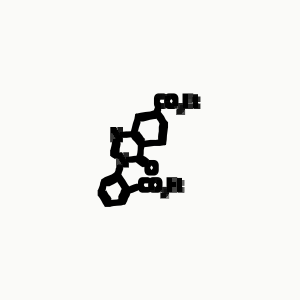 CCOC(=O)c1ccc2c(=O)n(-c3ccccc3C(=O)OCC)cnc2c1